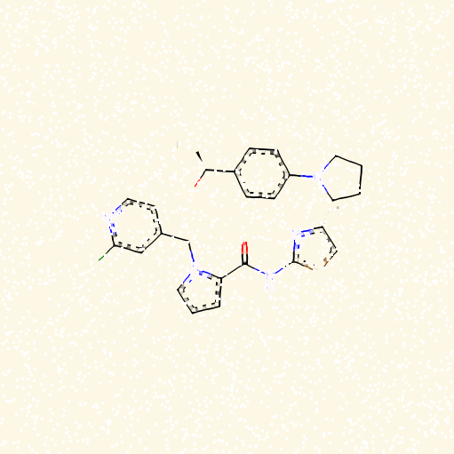 C[C@H](O)c1ccc(N2CCC[C@@H]2c2csc(NC(=O)c3cccn3Cc3ccnc(F)c3)n2)cc1